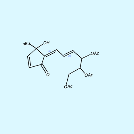 CCCCC1(O)C=CC(=O)/C1=C\C=C\C(OC(C)=O)C(COC(C)=O)OC(C)=O